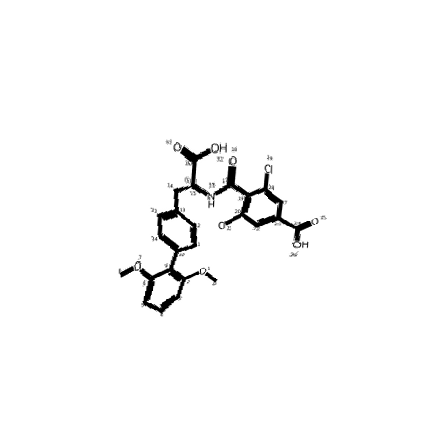 COc1cccc(OC)c1-c1ccc(C[C@H](NC(=O)c2c(Cl)cc(C(=O)O)cc2Cl)C(=O)O)cc1